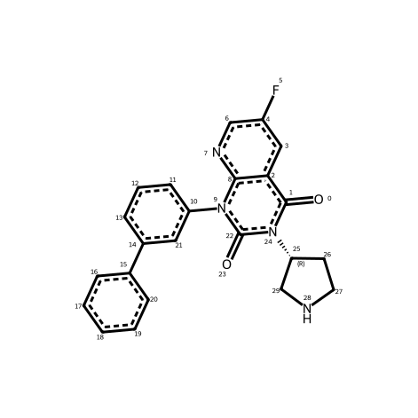 O=c1c2cc(F)cnc2n(-c2cccc(-c3ccccc3)c2)c(=O)n1[C@@H]1CCNC1